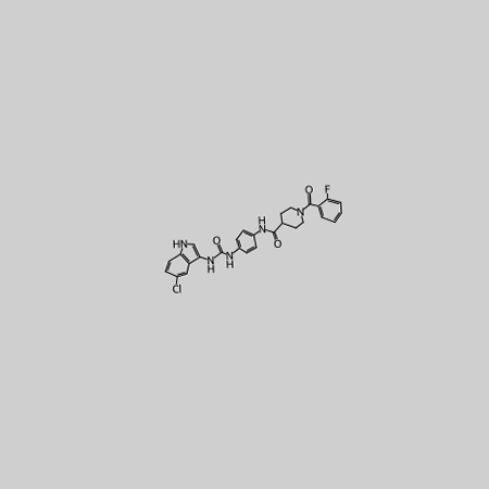 O=C(Nc1ccc(NC(=O)C2CCN(C(=O)c3ccccc3F)CC2)cc1)Nc1c[nH]c2ccc(Cl)cc12